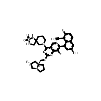 C#Cc1c(F)ccc2cc(O)cc(-c3ncc4c(N5CCCC6(CNS(=O)(=O)N6)C5)nc(OC[C@@]56CCCN5C[C@H](F)C6)nc4c3F)c12